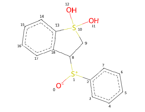 [O-][S+](c1ccccc1)C1CS(O)(O)c2ccccc21